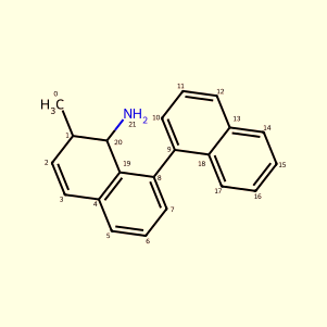 CC1C=Cc2cccc(-c3cccc4ccccc34)c2C1N